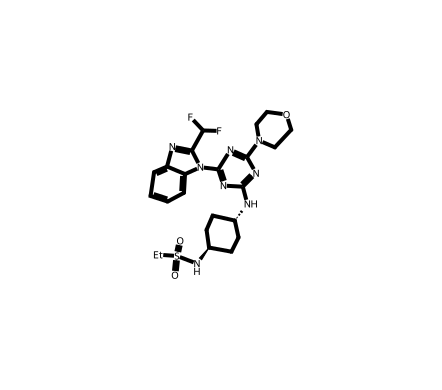 CCS(=O)(=O)N[C@H]1CC[C@H](Nc2nc(N3CCOCC3)nc(-n3c(C(F)F)nc4ccccc43)n2)CC1